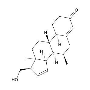 C[C@@H]1CC2=CC(=O)CC[C@@H]2[C@H]2CC[C@@]3(C)[C@H](C=C[C@H]3CO)[C@@H]21